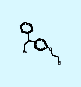 CC(=O)CC(c1ccccc1)c1ccc(OCCCl)cc1